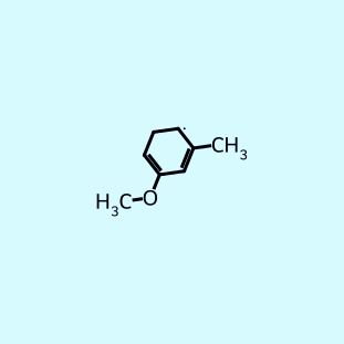 COC1=CC[CH]C(C)=C1